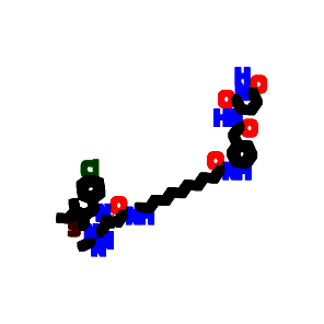 Cc1sc2c(c1C)C(c1ccc(Cl)cc1)=N[C@@H](CC(=O)NCCCCCCCCCCC(=O)Nc1cccc(CC(=O)NC3CCC(=O)NC3=O)c1)c1nnc(C)n1-2